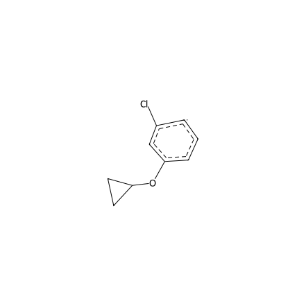 Clc1[c]ccc(OC2CC2)c1